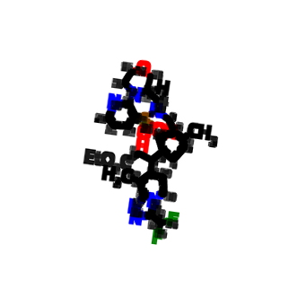 CCOC(=O)CC(c1ccc(C)c(CN2C[C@@H]3COCCN3c3ncccc3S2(O)O)c1)c1ccn2c(C(F)F)nnc2c1C